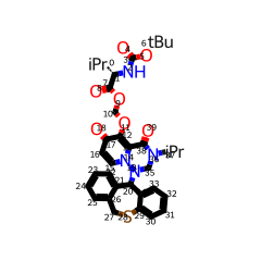 CC(C)[C@H](NC(=O)OC(C)(C)C)C(=O)OCOc1c2n(ccc1=O)N(C1c3ccccc3CSc3ccccc31)CN(C(C)C)C2=O